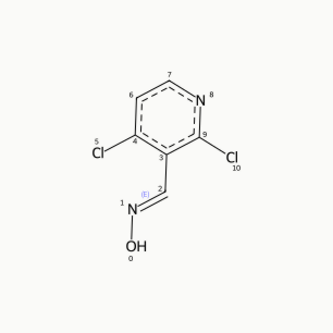 O/N=C/c1c(Cl)ccnc1Cl